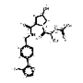 Cc1ncsc1-c1ccc(CNC(=O)C2CC(O)CN2C(=O)C(NC(=O)C(C)(C)C)C(C)(C)C)cc1